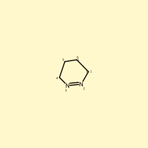 [C]1[C]N=NCC1